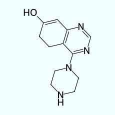 OC1=Cc2ncnc(N3CCNCC3)c2CC1